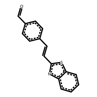 O=Cc1ccc(/C=C/c2nc3ccccc3s2)cc1